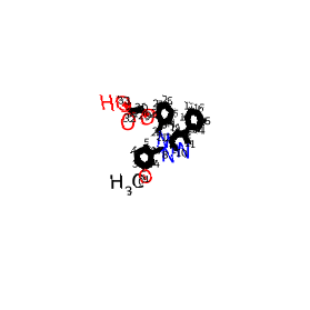 COc1cccc(-c2nc3ncc(-c4ccccc4)cc3n2Cc2ccccc2OCC(=O)O)c1